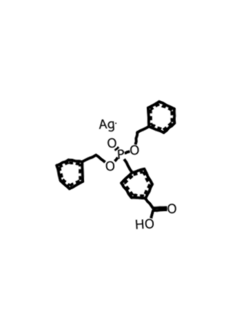 O=C(O)c1ccc(P(=O)(OCc2ccccc2)OCc2ccccc2)cc1.[Ag]